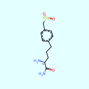 NC(=O)[C@@H](N)CCCc1ccc(C[SH](=O)=O)cc1